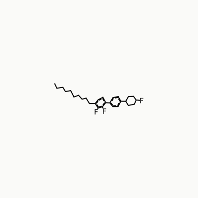 CCCCCCCCCCc1ccc(-c2ccc(C3CCC(F)CC3)cc2)c(F)c1F